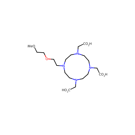 COCCOCCN1CCN(CC(=O)O)CCN(CC(=O)O)CCN(CC(=O)O)CC1